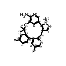 CCn1ncc2c1-c1cnc(N)c(c1)OC(C)(C)c1cc(F)ccc1-c1cc(F)cnc1C2